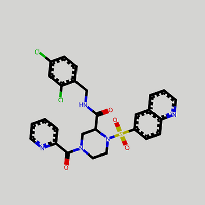 O=C(NCc1ccc(Cl)cc1Cl)C1CN(C(=O)c2ccccn2)CCN1S(=O)(=O)c1ccc2ncccc2c1